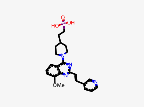 COc1cccc2c(N3CCC(CCP(=O)(O)O)CC3)nc(C=Cc3cccnc3)nc12